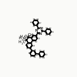 CC1(C)c2ccc(-c3cccc(-c4ccccc4)c3)cc2-c2ccc(-c3nc(-c4ccccc4)nc(-c4ccccc4)n3)cc2C1(C)C